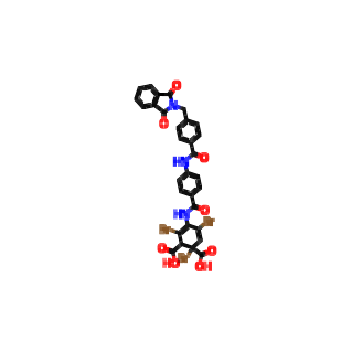 O=C(NC1=C(Br)C(C(=O)O)C(Br)(C(=O)O)C=C1Br)c1ccc(NC(=O)c2ccc(CN3C(=O)c4ccccc4C3=O)cc2)cc1